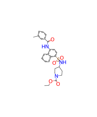 CCOC(=O)N1CCC(NS(=O)(=O)c2ccc(NC(=O)c3cccc(C)c3)c3ccccc23)CC1